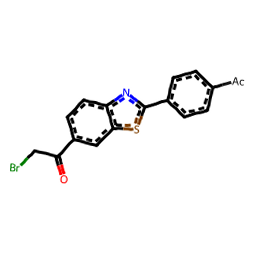 CC(=O)c1ccc(-c2nc3ccc(C(=O)CBr)cc3s2)cc1